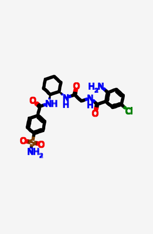 Nc1ccc(Cl)cc1C(=O)NCC(=O)N[C@H]1CCCC[C@H]1NC(=O)c1ccc(S(N)(=O)=O)cc1